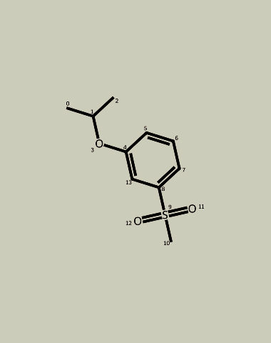 CC(C)Oc1cccc(S(C)(=O)=O)c1